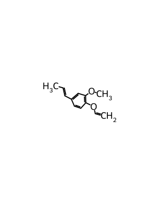 C=COc1ccc(C=CC)cc1OC